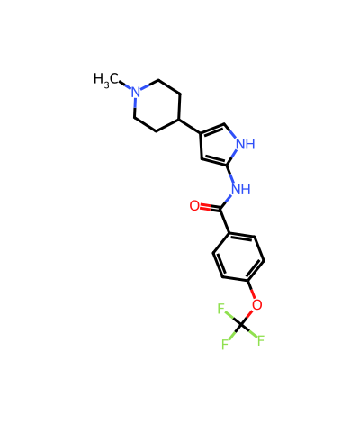 CN1CCC(c2c[nH]c(NC(=O)c3ccc(OC(F)(F)F)cc3)c2)CC1